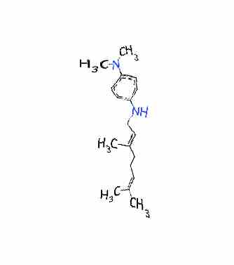 CC(C)=CCC/C(C)=C/CNc1ccc(N(C)C)cc1